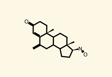 C=C1CC2C(CC[C@@]3(C)C2CC[C@@H]3N=O)[C@@]2(C)CCC(=O)C=C12